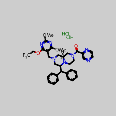 COc1nc(OC)c(CN2CC(C(c3ccccc3)c3ccccc3)N3CCN(C(=O)c4cnccn4)C[C@H]3C2)c(OCC(F)(F)F)n1.Cl.Cl